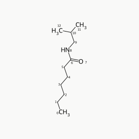 CCCCCCC(=O)NCC(C)C